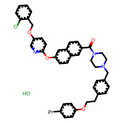 CC(C)c1ccc(OCCc2ccc(CN3CCN(C(=O)c4ccc5cc(Oc6ccc(OCc7ccccc7Cl)cn6)ccc5c4)CC3)cc2)cc1.Cl